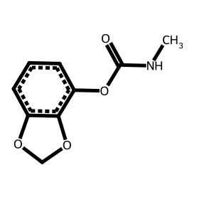 CNC(=O)Oc1cccc2c1OCO2